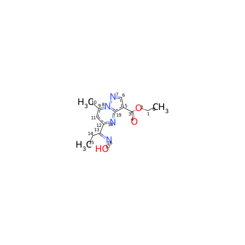 CCOC(=O)c1cnn2c(C)cc(C(CC)=NO)nc12